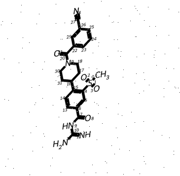 CS(=O)(=O)c1cc(C(=O)NC(=N)N)ccc1C1CCN(C(=O)c2cccc(C#N)c2)CC1